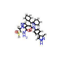 Cc1n[nH]c(C)c1-c1ccc(NC(=O)[C@H](c2cnn(C(C)C[S+](C)[O-])c2C(N)=O)C(C2CCCCC2)C2CCCCC2)cc1